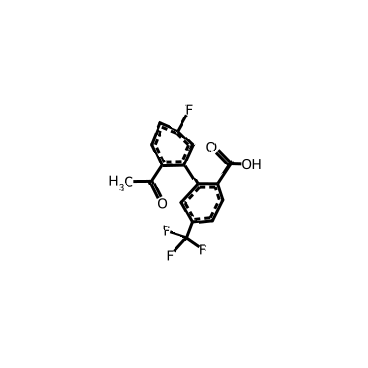 CC(=O)c1ccc(F)cc1-c1cc(C(F)(F)F)ccc1C(=O)O